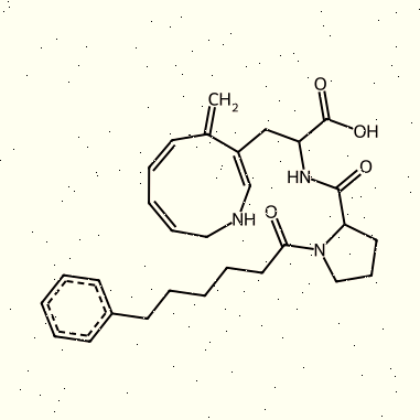 C=C1/C=C\C=C/CN/C=C\1CC(NC(=O)C1CCCN1C(=O)CCCCCc1ccccc1)C(=O)O